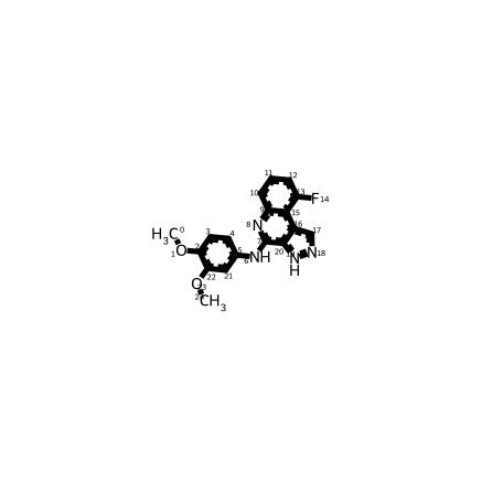 COc1ccc(Nc2nc3cccc(F)c3c3cn[nH]c23)cc1OC